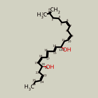 C=C(C)CCC/C=C\C/C=C\C[C@@H](O)/C=C/C=C/C=C\[C@@H](O)C/C=C\CC